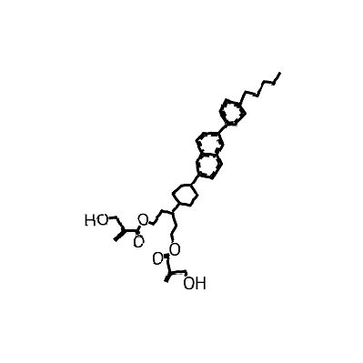 C=C(CO)C(=O)OCCC(CCOC(=O)C(=C)CO)C1CCC(c2ccc3cc(-c4ccc(CCCCC)cc4)ccc3c2)CC1